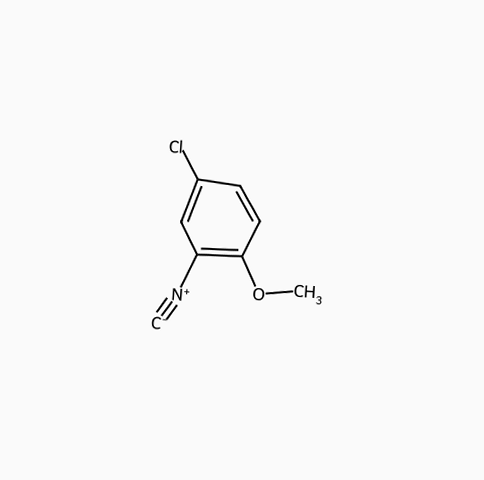 [C-]#[N+]c1cc(Cl)ccc1OC